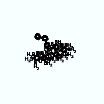 Bc1c(B)c(B)c(-n2c3c(B)c(B)c(B)c(B)c3c3c(-c4nc(-c5ccc(-c6cccc(-c7ccccc7)c6)cc5)nc(-c5c(B)c(B)c6oc7c(B)c(B)c(B)c(B)c7c6c5B)n4)c(B)c(B)c(B)c32)c(B)c1B